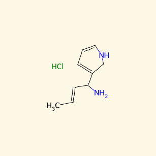 CC=CC(N)C1=CC=CNC1.Cl